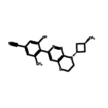 Cc1cc(C#N)cc(O)c1-c1cc2c(nn1)N([C@H]1C[C@H](C)C1)CCO2